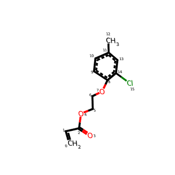 C=CC(=O)OCCOc1ccc(C)cc1Cl